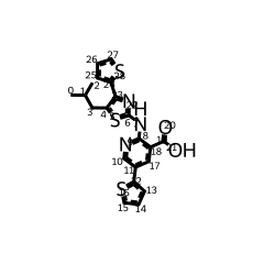 CC(C)Cc1sc(Nc2ncc(-c3cccs3)cc2C(=O)O)nc1-c1cccs1